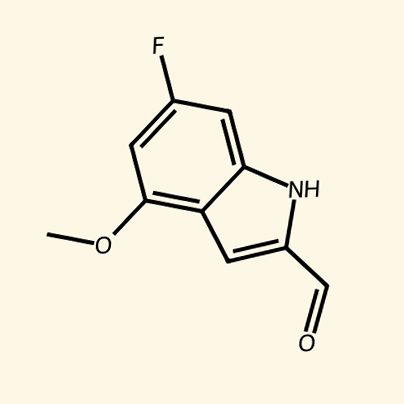 COc1cc(F)cc2[nH]c(C=O)cc12